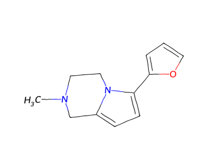 CN1CCn2c(ccc2-c2ccco2)C1